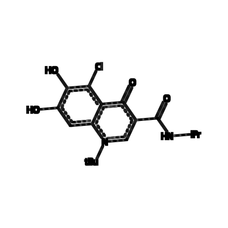 CC(C)NC(=O)c1cn(C(C)(C)C)c2cc(O)c(O)c(Cl)c2c1=O